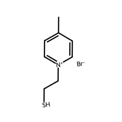 Cc1cc[n+](CCS)cc1.[Br-]